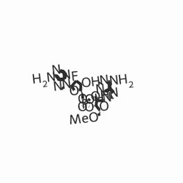 COC[C@H]1O[C@@H](n2cnc3c(N)ncnc32)C(O)[C@H]1OP(=O)(O)OC[C@H]1O[C@@H](n2cnc3c(N)ncnc32)C(F)C1O